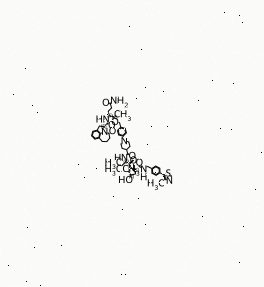 Cc1ncsc1-c1ccc(CNC(=O)[C@@H]2C[C@@H](O)CN2C(=O)[C@@H](NC(=O)C2CCN(c3ccc(CO[C@H](C)[C@H](CCC(N)=O)NC(=O)[C@@H]4Cc5cccc6c5N4C(=O)CCC6)cc3)CC2)C(C)(C)C)cc1